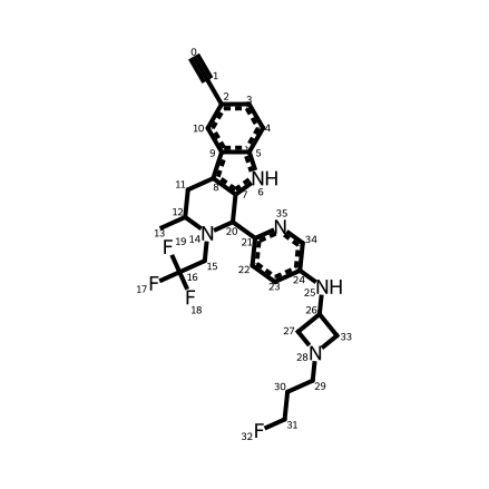 C#Cc1ccc2[nH]c3c(c2c1)CC(C)N(CC(F)(F)F)C3c1ccc(NC2CN(CCCF)C2)cn1